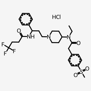 CCN(C(=O)Cc1ccc(S(C)(=O)=O)cc1)C1CCN(CCC(NC(=O)CCC(F)(F)F)c2ccccc2)CC1.Cl